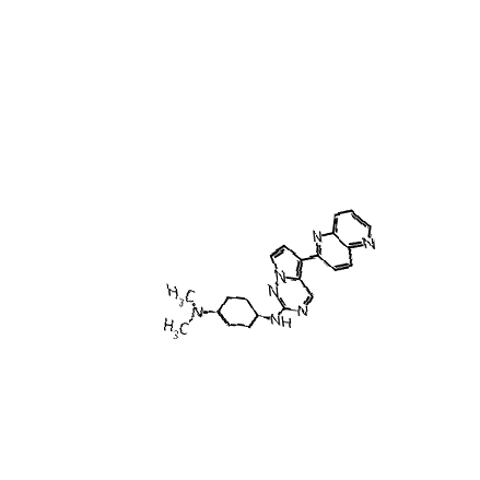 CN(C)[C@H]1CC[C@@H](Nc2ncc3c(-c4ccc5ncccc5n4)ccn3n2)CC1